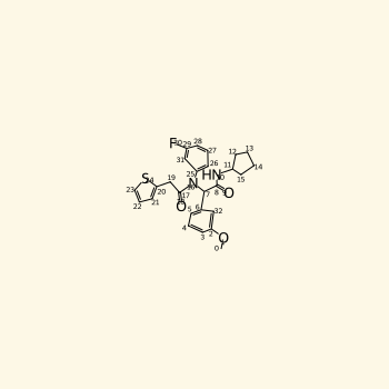 COc1cccc(C(C(=O)NC2CCCC2)N(C(=O)Cc2cccs2)c2cccc(F)c2)c1